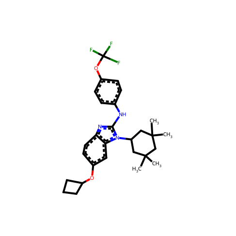 CC1(C)CC(n2c(Nc3ccc(OC(F)(F)F)cc3)nc3ccc(OC4CCC4)cc32)CC(C)(C)C1